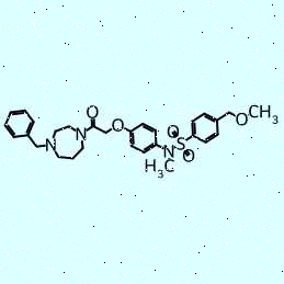 COCc1ccc(S(=O)(=O)N(C)c2ccc(OCC(=O)N3CCCN(Cc4ccccc4)CC3)cc2)cc1